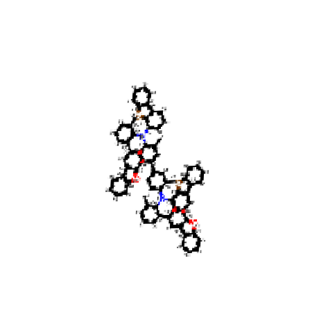 Cc1cc(-c2ccc(N(c3c(C)cccc3-c3ccc4oc5ccccc5c4c3)c3cccc4c3sc3ccccc34)c(C)c2)ccc1N(c1c(C)cccc1-c1ccc2oc3ccccc3c2c1)c1cccc2c1sc1ccccc12